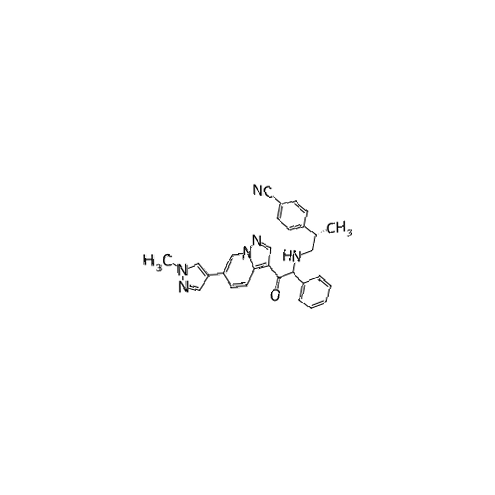 C[C@H](CNC(C(=O)c1cnn2cc(-c3cnn(C)c3)ccc12)c1ccccc1)c1ccc(C#N)cc1